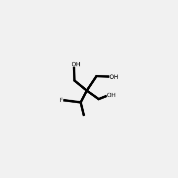 CC(F)C(CO)(CO)CO